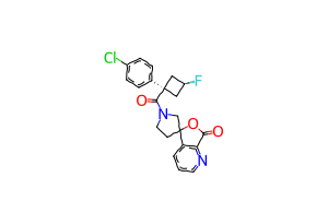 O=C1OC2(CCN(C(=O)[C@]3(c4ccc(Cl)cc4)C[C@H](F)C3)C2)c2cccnc21